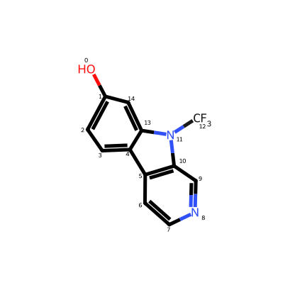 Oc1ccc2c3ccncc3n(C(F)(F)F)c2c1